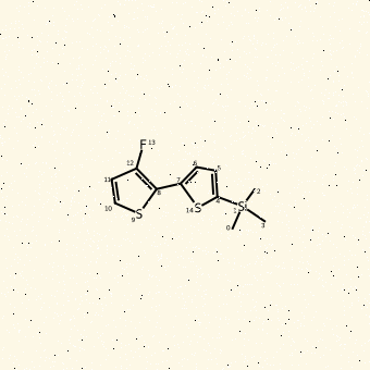 C[Si](C)(C)c1ccc(-c2sccc2F)s1